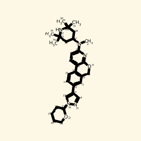 CN(c1ccc2c(n1)OCc1cc(-c3cnn(C4CCCCO4)c3)ccc1-2)C1CC(C)(C)NC(C)(C)C1